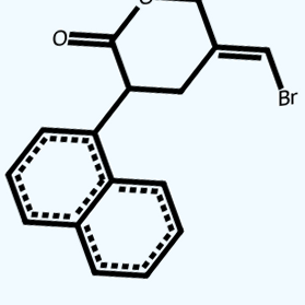 O=C1OCC(=CBr)CC1c1cccc2ccccc12